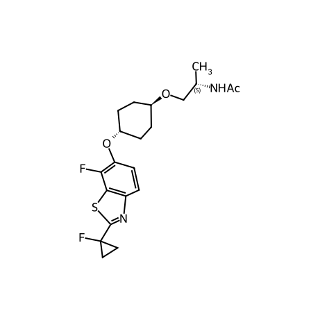 CC(=O)N[C@@H](C)CO[C@H]1CC[C@H](Oc2ccc3nc(C4(F)CC4)sc3c2F)CC1